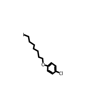 Clc1ccc(OCCCCCCCI)cc1